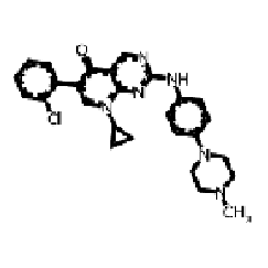 CN1CCN(c2ccc(Nc3ncc4c(=O)c(-c5ccccc5Cl)cn(C5CC5)c4n3)cc2)CC1